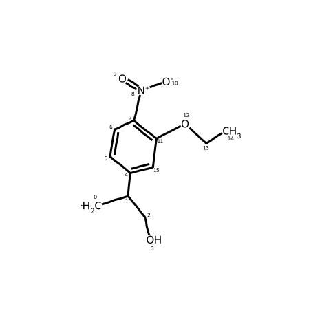 [CH2]C(CO)c1ccc([N+](=O)[O-])c(OCC)c1